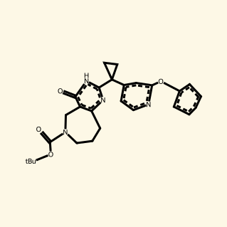 CC(C)(C)OC(=O)N1CCCc2nc(C3(c4ccnc(Oc5ccccc5)c4)CC3)[nH]c(=O)c2C1